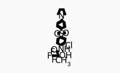 CC(O)(C(=O)Nc1ccc(S(=O)(=O)c2ccc(N3CCCC3)cc2)cc1Cl)C(F)(F)F